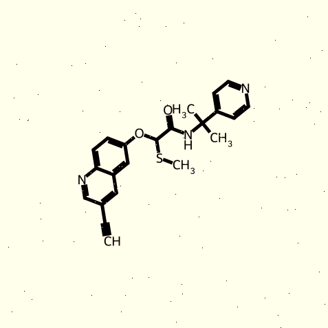 C#Cc1cnc2ccc(OC(SC)C(=O)NC(C)(C)c3ccncc3)cc2c1